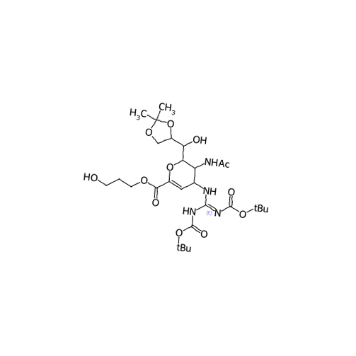 CC(=O)NC1C(N/C(=N\C(=O)OC(C)(C)C)NC(=O)OC(C)(C)C)C=C(C(=O)OCCCO)OC1C(O)C1COC(C)(C)O1